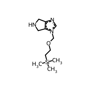 C[Si](C)(C)CCOCn1cnc2c1CNC2